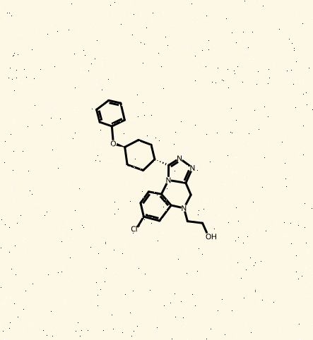 OCCN1Cc2nnc([C@H]3CC[C@H](Oc4ccccc4)CC3)n2-c2ccc(Cl)cc21